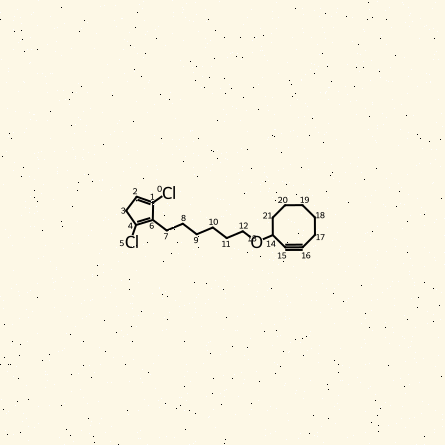 ClC1=[C]CC(Cl)=C1CCCCCCOC1C#CCCCCC1